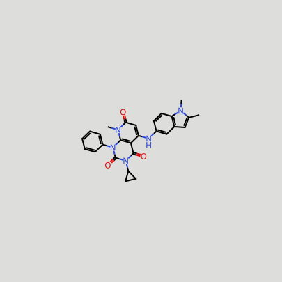 Cc1cc2cc(Nc3cc(=O)n(C)c4c3c(=O)n(C3CC3)c(=O)n4-c3ccccc3)ccc2n1C